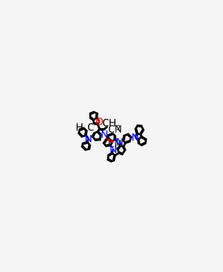 C=Cc1c(-c2oc3ccccc3c2C)c2cc(N(c3ccccc3)c3ccccc3)ccc2n1-c1cc(C#N)c(-n2c3ccc(-n4c5ccccc5c5ccccc54)cc3c3ccc4c5ccccc5n(-c5ccccc5)c4c32)cc1C#N